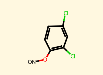 O=NOc1ccc(Cl)cc1Cl